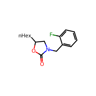 CCCCCCC1CN(Cc2ccccc2F)C(=O)O1